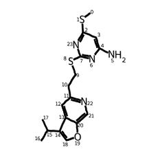 CSc1cc(N)nc(SCCc2cc3c(C(C)C)coc3cn2)n1